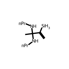 C=C([SiH3])C(C)(NCCC)NCCC